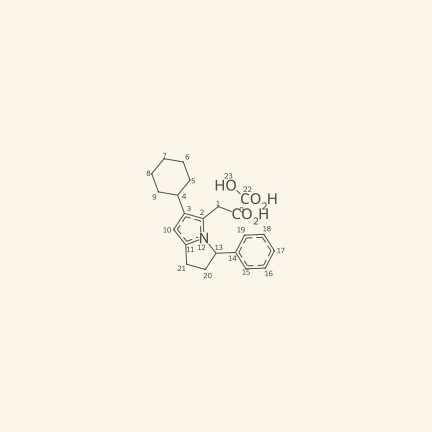 O=C(O)Cc1c(C2CCCCC2)cc2n1C(c1ccccc1)CC2.O=C(O)O